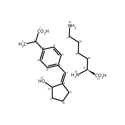 CC(C(=O)O)c1ccc(C=C2CCCC2O)cc1.NCCCC[C@H](N)C(=O)O